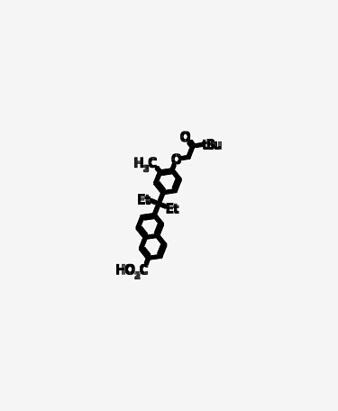 CCC(CC)(c1ccc(OCC(=O)C(C)(C)C)c(C)c1)c1ccc2cc(C(=O)O)ccc2c1